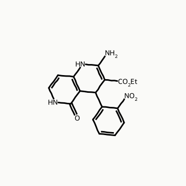 CCOC(=O)C1=C(N)Nc2cc[nH]c(=O)c2C1c1ccccc1[N+](=O)[O-]